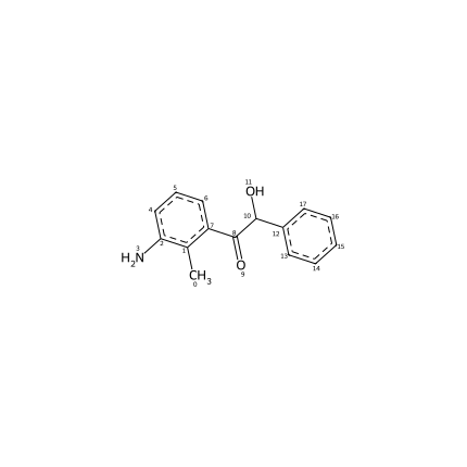 Cc1c(N)cccc1C(=O)C(O)c1ccccc1